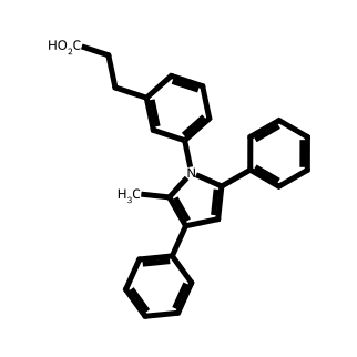 Cc1c(-c2ccccc2)cc(-c2ccccc2)n1-c1cccc(CCC(=O)O)c1